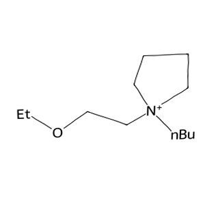 CCCC[N+]1(CCOCC)CCCC1